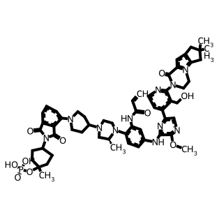 C=CC(=O)Nc1cc(Nc2nc(-c3ccnc(N4CCn5c(cc6c5CC(C)(C)C6)C4=O)c3CO)cnc2OC)ccc1N1CCN(C2CCN(c3cccc4c3C(=O)N(C3CCC(C)(OP(=O)(O)O)CC3)C4=O)CC2)C[C@@H]1C